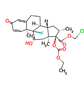 CCOC(=O)O[C@]1(C(=O)OCCl)[C@@H](C)C[C@H]2[C@@H]3CCC4=CC(=O)C=C[C@]4(C)[C@@]3(F)[C@@H](O)C[C@@]21C